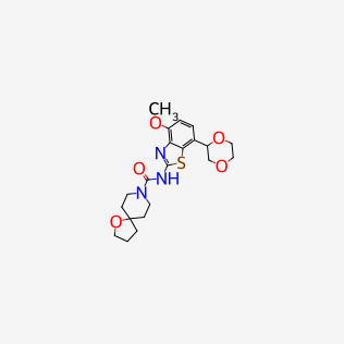 COc1ccc(C2COCCO2)c2sc(NC(=O)N3CCC4(CCCO4)CC3)nc12